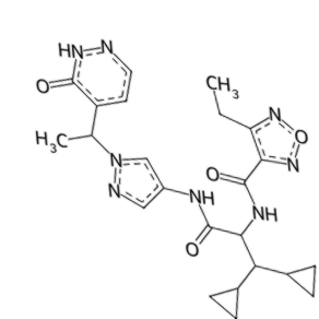 CCc1nonc1C(=O)NC(C(=O)Nc1cnn(C(C)c2ccn[nH]c2=O)c1)C(C1CC1)C1CC1